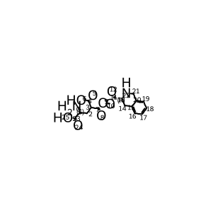 N[C@@H](CC(C(=O)O)C(=O)OOC(=O)[C@H]1Cc2ccccc2CN1)C(=O)O